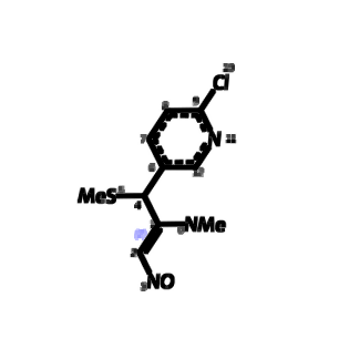 CN/C(=C\N=O)C(SC)c1ccc(Cl)nc1